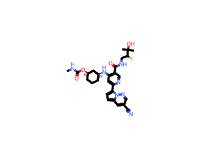 CNC(=O)O[C@@H]1CCC[C@H](Nc2cc(-c3ccc4cc(C#N)cnn34)ncc2C(=O)NCC(F)C(C)(C)O)C1